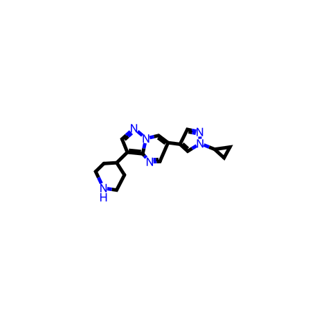 c1nc2c(C3CCNCC3)cnn2cc1-c1cnn(C2CC2)c1